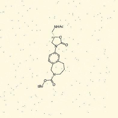 CC(=O)NC[C@H]1CN(c2ccc3c(c2)CCCN(C(=O)OC(C)(C)C)C3)C(=O)O1